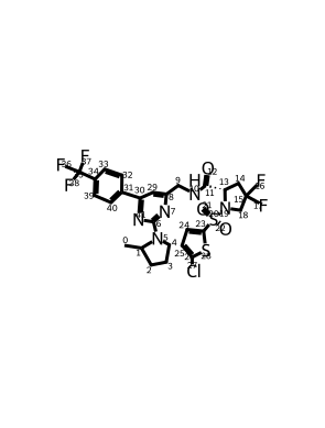 CC1CCCN1c1nc(CNC(=O)[C@@H]2CC(F)(F)CN2S(=O)(=O)c2ccc(Cl)s2)cc(-c2ccc(C(F)(F)F)cc2)n1